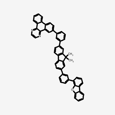 CC1(C)c2cc(-c3cccc(-c4ccc5c6ccccc6c6nccnc6c5c4)c3)ccc2-c2ccc(-c3cccc(-c4cccc5c4oc4ccccc45)c3)cc21